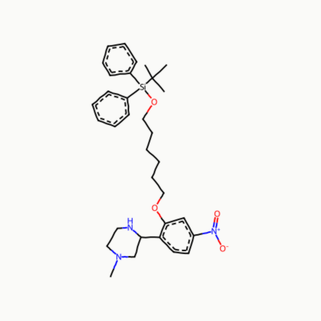 CN1CCNC(c2ccc([N+](=O)[O-])cc2OCCCCCCO[Si](c2ccccc2)(c2ccccc2)C(C)(C)C)C1